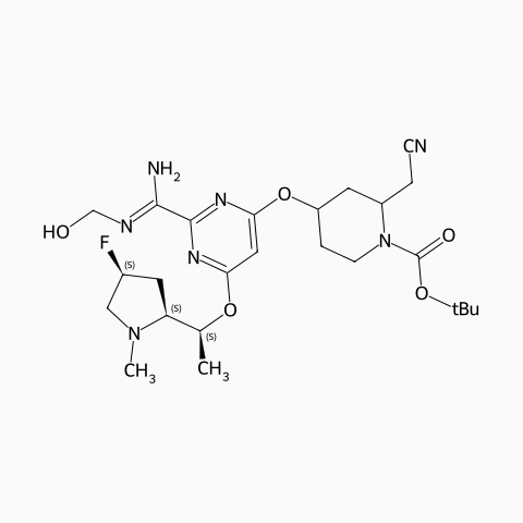 C[C@H](Oc1cc(OC2CCN(C(=O)OC(C)(C)C)C(CC#N)C2)nc(C(N)=NCO)n1)[C@@H]1C[C@H](F)CN1C